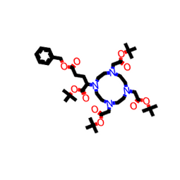 CC(C)(C)OC(=O)CN1CCN(CC(=O)OC(C)(C)C)CCN(C(CCC(=O)OCc2ccccc2)C(=O)OC(C)(C)C)CCN(CC(=O)OC(C)(C)C)CC1